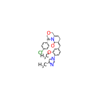 COc1cc(C=C2CC=C3COC[C@@H](c4ccc(Cl)cc4)N3C2=O)ccc1-n1cnc(C)c1